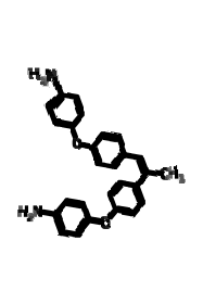 CC(=Cc1ccc(Oc2ccc(N)cc2)cc1)c1ccc(Oc2ccc(N)cc2)cc1